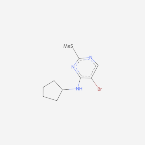 CSc1ncc(Br)c(NC2CCCC2)n1